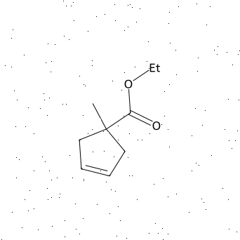 CCOC(=O)C1(C)CC=CC1